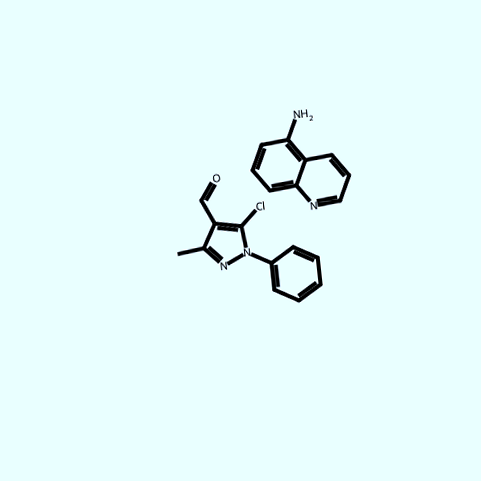 Cc1nn(-c2ccccc2)c(Cl)c1C=O.Nc1cccc2ncccc12